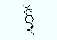 CS(=O)(=O)OC1CCN(C[SH](=O)=O)CC1